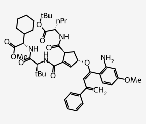 C=C(/C=C(/O[C@@H]1C=C(C(=O)N[C@H](C(=O)N[C@H](C(=O)OC)C2CCCCC2)C(C)(C)C)[C@@H](C(=O)N[C@@H](CCC)C(=O)OC(C)(C)C)C1)c1ccc(OC)cc1N)c1ccccc1